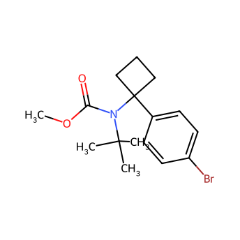 COC(=O)N(C(C)(C)C)C1(c2ccc(Br)cc2)CCC1